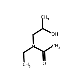 CCN(CC(C)O)C(C)=O